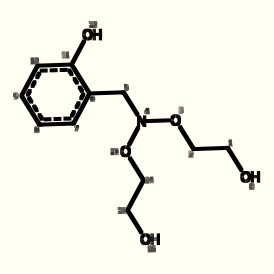 OCCON(Cc1ccccc1O)OCCO